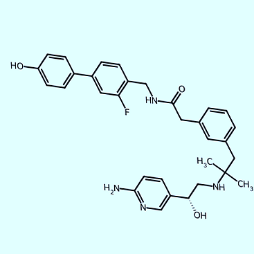 CC(C)(Cc1cccc(CC(=O)NCc2ccc(-c3ccc(O)cc3)cc2F)c1)NC[C@H](O)c1ccc(N)nc1